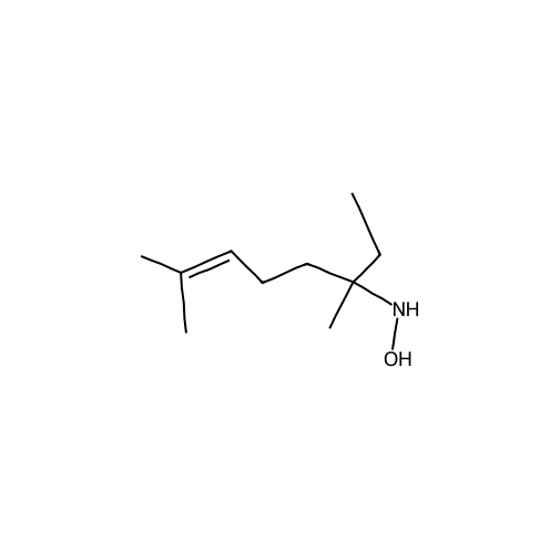 CCC(C)(CCC=C(C)C)NO